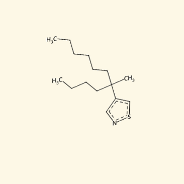 CCCCCCC(C)(CCCC)c1cnsc1